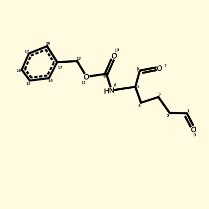 O=[C]CCCC([C]=O)NC(=O)OCc1ccccc1